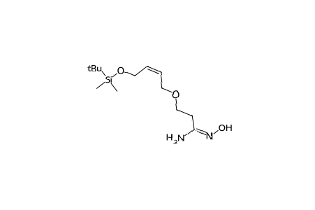 CC(C)(C)[Si](C)(C)OC/C=C\COCC/C(N)=N\O